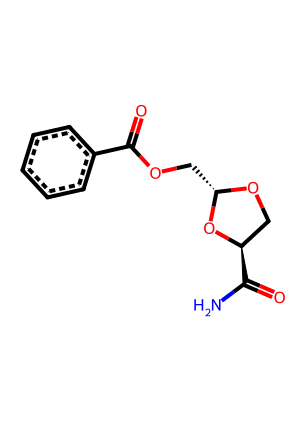 NC(=O)[C@@H]1CO[C@@H](COC(=O)c2ccccc2)O1